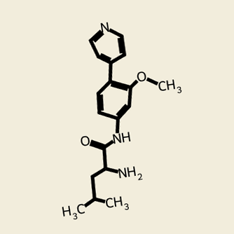 COc1cc(NC(=O)C(N)CC(C)C)ccc1-c1ccncc1